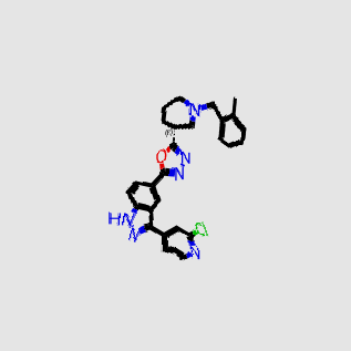 Cc1ccccc1CN1CCC[C@@H](c2nnc(-c3ccc4[nH]nc(-c5ccnc(Cl)c5)c4c3)o2)C1